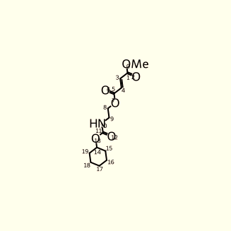 COC(=O)/C=C/C(=O)OCCNC(=O)OC1CCCCC1